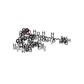 CC(C)C[C@H](N)C(=O)N[C@@H](Cc1c[nH]c2ccccc12)C(=O)N[C@@H](CO)C(=O)N1CCC[C@H]1C(=O)N[C@H](C(=O)N[C@@H](Cc1ccccc1)C(=O)N[C@@H](Cc1ccccc1)C(=O)N[C@@H](Cc1ccccc1)C(=O)N1CCC[C@H]1C(=O)N[C@@H](CCCCN)C(=O)NCC(=O)NCC(=O)NCC(=O)N[C@@H](CCCCNC(=O)CCCC[C@@H]1SC[C@@H]2NC(=O)N[C@@H]21)C(N)=O)C(C)C